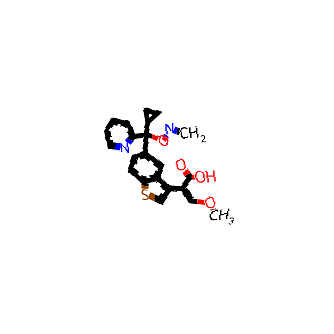 C=NOC(c1ccc2scc(C(=COC)C(=O)O)c2c1)(c1ccccn1)C1CC1